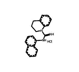 Cl.N=C(Nc1cccc2ccccc12)N1CCCc2ccccc21